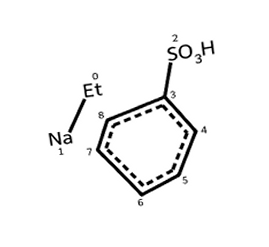 C[CH2][Na].O=S(=O)(O)c1ccccc1